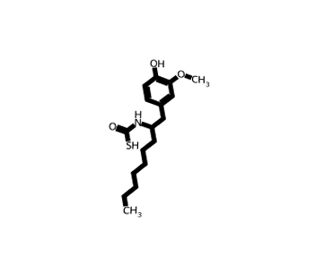 CCCCCCCC(Cc1ccc(O)c(OC)c1)NC(=O)S